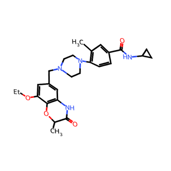 CCOc1cc(CN2CCN(c3ccc(C(=O)NC4CC4)cc3C)CC2)cc2c1OC(C)C(=O)N2